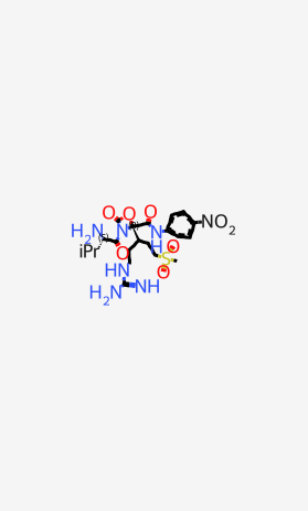 CC(C)[C@H](N)C(=O)N1C(=O)O[C@@]1(C(=O)Nc1ccc([N+](=O)[O-])cc1)C(CCNC(=N)N)CCS(C)(=O)=O